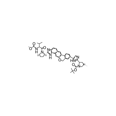 COC(=O)NC(C(=O)N1[C@@H](C)CC[C@H]1c1nc2ccc3cc4c(cc3c2[nH]1)OCc1cc(-c2cnc(C3C[C@H](C)CN3C(=O)OC(C)(C)C)[nH]2)ccc1-4)C(C)C